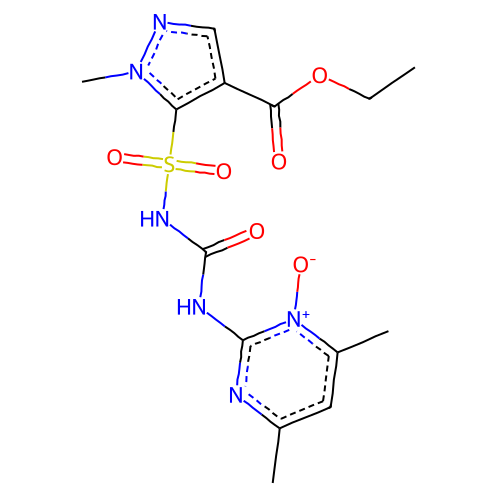 CCOC(=O)c1cnn(C)c1S(=O)(=O)NC(=O)Nc1nc(C)cc(C)[n+]1[O-]